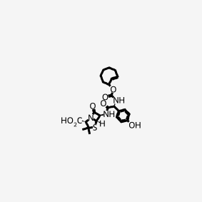 CC1(C)S[C@@H]2[C@H](NC(=O)[C@H](NC(=O)OC3/C=C/CCCCC3)c3ccc(O)cc3)C(=O)N2[C@H]1C(=O)O